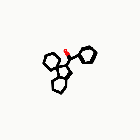 O=C(c1ccccc1)C1C=C2CCCCC2C12CCCCC2